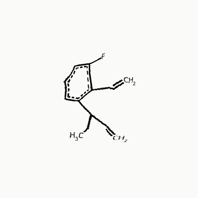 C=C[C](C)c1cccc(F)c1C=C